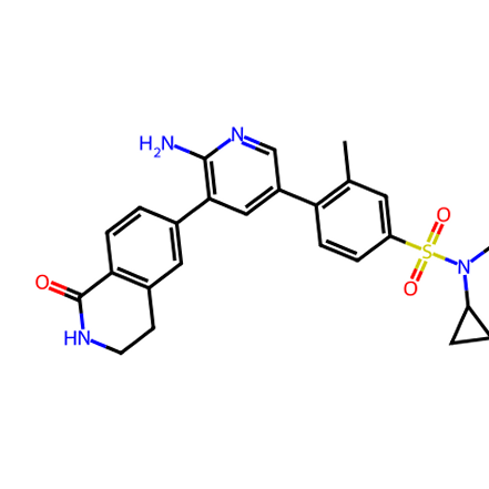 Cc1cc(S(=O)(=O)N(C)C2CC2)ccc1-c1cnc(N)c(-c2ccc3c(c2)CCNC3=O)c1